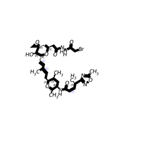 CC(/C=C/[C@H]1O[C@H](CC(=O)NNC(=O)CBr)C[C@@]2(CO2)[C@@H]1O)=C\C[C@@H]1O[C@H](C)[C@H](NC(=O)/C=C\[C@H](C)c2noc(C)n2)C[C@@H]1C